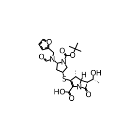 C[C@@H](O)[C@H]1C(=O)N2C(C(=O)O)=C(S[C@H]3C[C@@H](N(C=O)Cc4ccco4)N(C(=O)OC(C)(C)C)C3)[C@H](C)[C@H]12